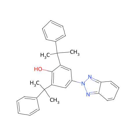 CC(C)(c1ccccc1)c1cc(-n2nc3ccccc3n2)cc(C(C)(C)c2ccccc2)c1O